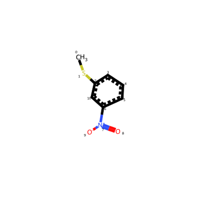 CSc1cc[c]c([N+](=O)[O-])c1